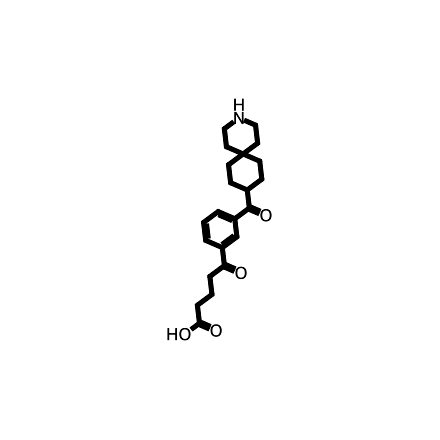 O=C(O)CCCC(=O)c1cccc(C(=O)C2CCC3(CCNCC3)CC2)c1